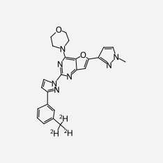 [2H]C([2H])([2H])c1cccc(-c2ccn(-c3nc(N4CCOCC4)c4oc(-c5ccn(C)n5)cc4n3)n2)c1